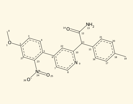 COc1ccc(-c2ccnc(C(C(N)=O)c3ccc(C)cc3)c2)c([N+](=O)[O-])c1